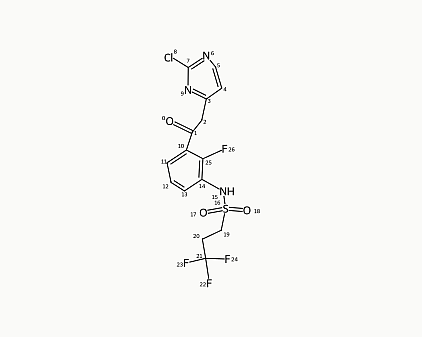 O=C(Cc1ccnc(Cl)n1)c1cccc(NS(=O)(=O)CCC(F)(F)F)c1F